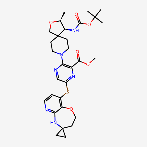 COC(=O)c1nc(Sc2ccnc3c2OCCC2(CC2)N3)cnc1N1CCC2(CC1)CO[C@@H](C)[C@H]2NC(=O)OC(C)(C)C